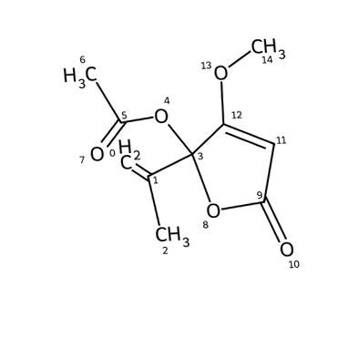 C=C(C)C1(OC(C)=O)OC(=O)C=C1OC